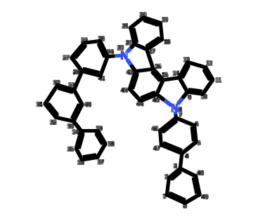 c1ccc(-c2ccc(-n3c4ccccc4c4c5c6ccccc6n(-c6cccc(-c7cccc(-c8ccccc8)c7)c6)c5ccc43)cc2)cc1